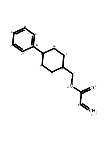 C=CC(=O)OCC1CCC(c2ccccc2)CC1